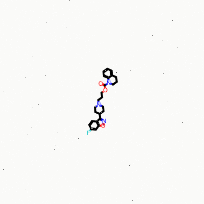 O=C(OCCCN1CCC(c2noc3cc(F)ccc23)CC1)N1CCCc2ccccc21